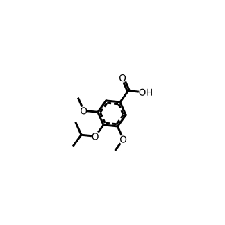 COc1cc(C(=O)O)cc(OC)c1OC(C)C